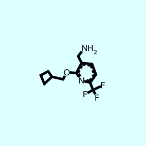 NCc1ccc(C(F)(F)F)nc1OCC1CCC1